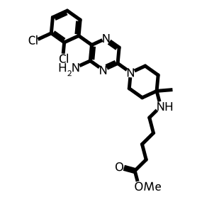 COC(=O)CCCCNC1(C)CCN(c2cnc(-c3cccc(Cl)c3Cl)c(N)n2)CC1